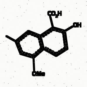 COc1cc(C)cc2c(C(=O)O)c(O)ccc12